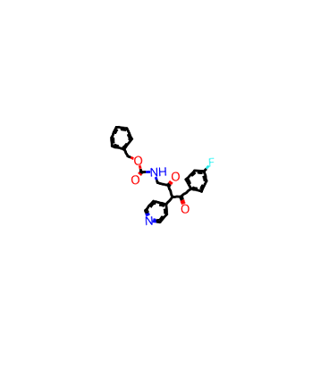 O=C(NCC(=O)C(C(=O)c1ccc(F)cc1)c1ccncc1)OCc1ccccc1